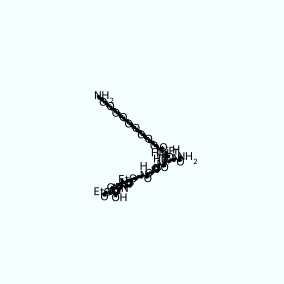 CCC(=O)OCc1c(O)cc2n(c1=O)Cc1c-2nc2ccc(OCCCNC(=O)OCc3ccc(NC(=O)[C@H](CCCNC(N)=O)NC(=O)C(NC(=O)CCOCCOCCOCCOCCOCCOCCOCCOCCOCCN)C(C)C)cc3)cc2c1CC